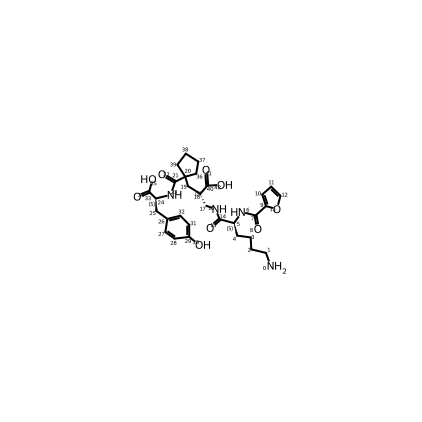 NCCCC[C@H](NC(=O)c1ccco1)C(=O)NC[C@H](CC1(C(=O)N[C@@H](Cc2ccc(O)cc2)C(=O)O)CCCC1)C(=O)O